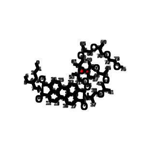 CCCCC(CC)CN1C(=O)c2ccc3c4ccc5c6c(ccc(c7ccc(c2c37)C1=O)c64)C(=O)N(C(C)COC(C)COC(C)COC(C)COC(C)COC(C)COC(C)COC(C)COC(C)COCCOC)C5=O